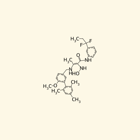 CCC(F)(F)c1cccc(NC(=O)/C(NO)=C(\C)NCc2ccc(OC)c(-c3c(C)cc(C)cc3C)c2)c1